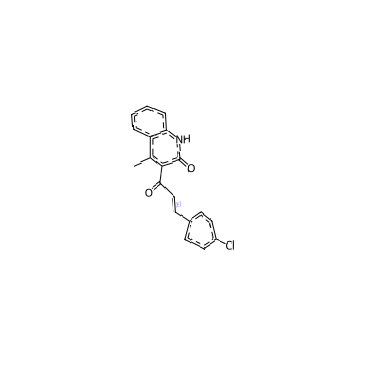 Cc1c(C(=O)/C=C/c2ccc(Cl)cc2)c(=O)[nH]c2ccccc12